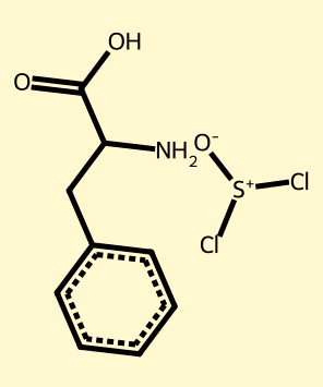 NC(Cc1ccccc1)C(=O)O.[O-][S+](Cl)Cl